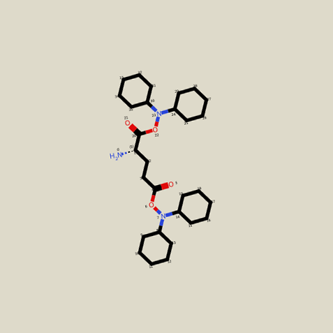 N[C@@H](CCC(=O)ON(C1CCCCC1)C1CCCCC1)C(=O)ON(C1CCCCC1)C1CCCCC1